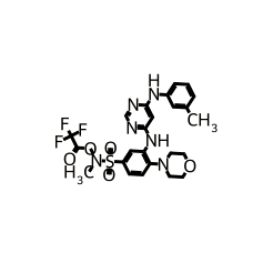 Cc1cccc(Nc2cc(Nc3cc(S(=O)(=O)N(C)OC(=O)C(F)(F)F)ccc3N3CCOCC3)ncn2)c1